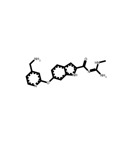 CNC(N)=NC(=O)c1cc2ccc(Oc3cc(CN)ccn3)cc2[nH]1